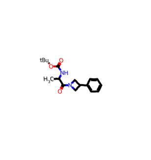 CC(NC(=O)OC(C)(C)C)C(=O)N1CC(c2ccccc2)C1